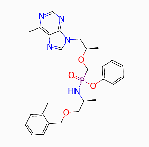 Cc1ccccc1COC[C@H](C)NP(=O)(CO[C@H](C)Cn1cnc2c(C)ncnc21)Oc1ccccc1